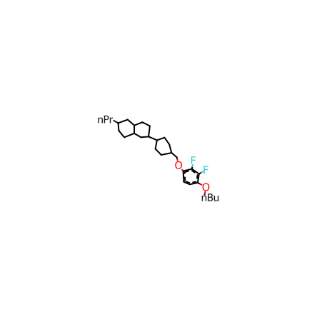 CCCCOc1ccc(OCC2CCC(C3CCC4CC(CCC)CCC4C3)CC2)c(F)c1F